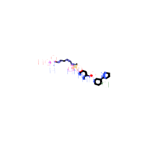 C/C(=C\C=C/C/C=C/C(=O)NO)S(=O)(=O)Nc1ccc(C(=O)Nc2ccc(Cl)c(-c3ccccn3)c2)c(C)n1